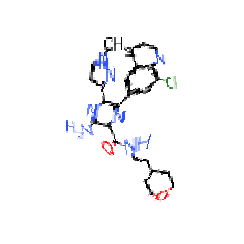 Cn1ccc(-c2nc(N)c(C(=O)NCCC3CCOCC3)nc2-c2cc(Cl)c3ncccc3c2)n1